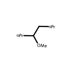 CC[CH]C(CCCC)OC